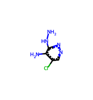 NNc1nncc(Cl)c1N